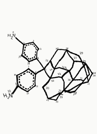 Nc1ccc(C2(c3ccc(N)cc3)C3CC45CC6CC7C8C9CC%10CC8(C6)C4C(C%10)(C3)C9C2C75)cc1